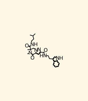 CC(C)CCNC(=O)C1(C)Cn2nc(C(=O)NCCc3c[nH]c4ccccc34)cc2C(=O)N1C